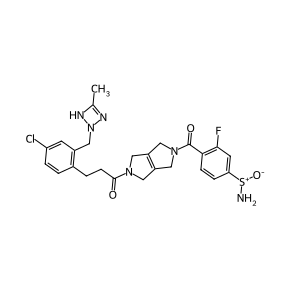 Cc1nn(Cc2cc(Cl)ccc2CCC(=O)N2CC3=C(C2)CN(C(=O)c2ccc([S+](N)[O-])cc2F)C3)[nH]1